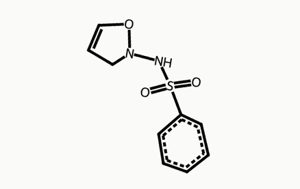 O=S(=O)(NN1CC=CO1)c1ccccc1